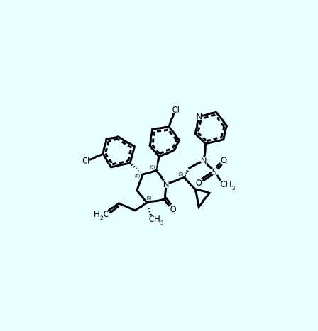 C=CC[C@@]1(C)C[C@H](c2cccc(Cl)c2)[C@@H](c2ccc(Cl)cc2)N([C@H](CN(c2cccnc2)S(C)(=O)=O)C2CC2)C1=O